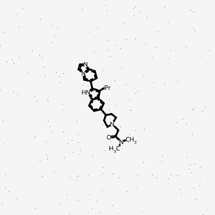 CC(C)c1c(-c2ccc3nccn3c2)[nH]c2ccc(C3CCN(CC(=O)N(C)C)CC3)cc12